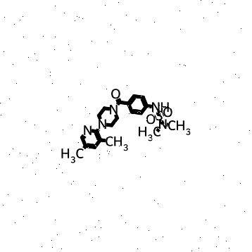 Cc1cnc(N2CCN(C(=O)c3ccc(NS(=O)(=O)N(C)C)cc3)CC2)c(C)c1